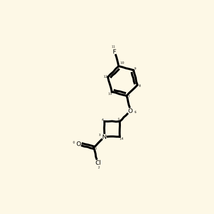 O=C(Cl)N1CC(Oc2ccc(F)cc2)C1